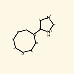 C1CCCC(C2C[N]CN2)CCC1